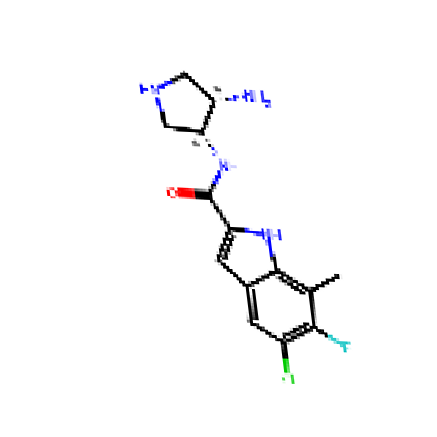 Cc1c(F)c(Cl)cc2cc(C(=O)N[C@@H]3CNC[C@@H]3N)[nH]c12